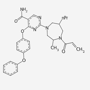 C=CC(=O)N1CC(CCC)CN(c2ncc(C(N)=O)c(Oc3ccc(Oc4ccccc4)cc3)n2)CC1C